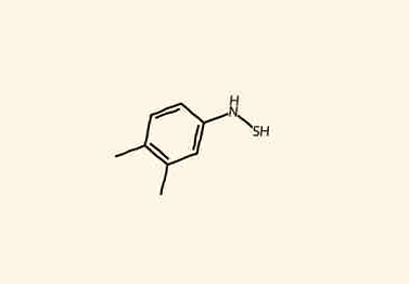 Cc1ccc(NS)cc1C